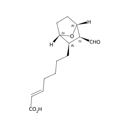 O=C[C@H]1[C@@H](CCCCC=CC(=O)O)[C@@H]2CC[C@H]1O2